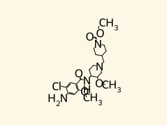 CCOC(=O)N1CCC(CN2CC[C@H](NC(=O)c3cc(Cl)c(N)cc3OC)[C@H](OC)C2)CC1